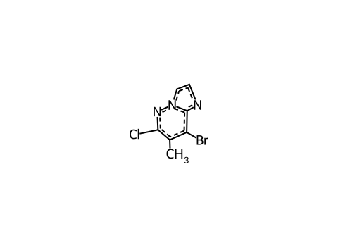 Cc1c(Cl)nn2ccnc2c1Br